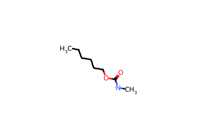 CCCCCCOC(=O)[N]C